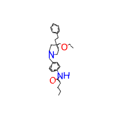 CCCCC(=O)Nc1ccc(CN2CCC(CCc3ccccc3)(COCC)CC2)cc1